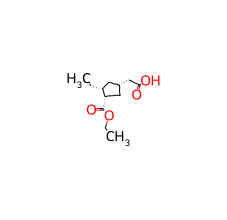 CCOC(=O)[C@H]1C[C@@H](CC(=O)O)C[C@H]1CC